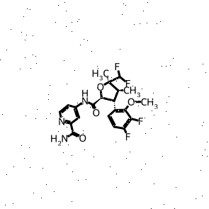 COc1c([C@@H]2[C@@H](C(=O)Nc3ccnc(C(N)=O)c3)O[C@@](C)(C(F)F)[C@H]2C)ccc(F)c1F